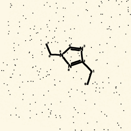 CCc1ncn(CC)n1